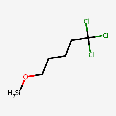 [SiH3]OCCCCC(Cl)(Cl)Cl